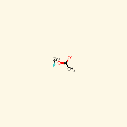 CC(=O)[O-].[F][Zn+]